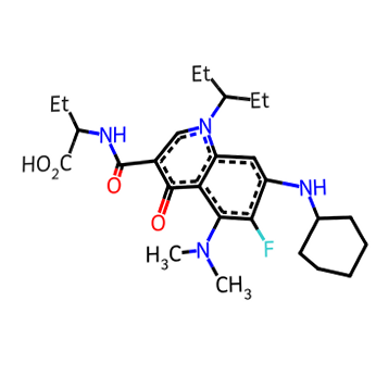 CCC(NC(=O)c1cn(C(CC)CC)c2cc(NC3CCCCC3)c(F)c(N(C)C)c2c1=O)C(=O)O